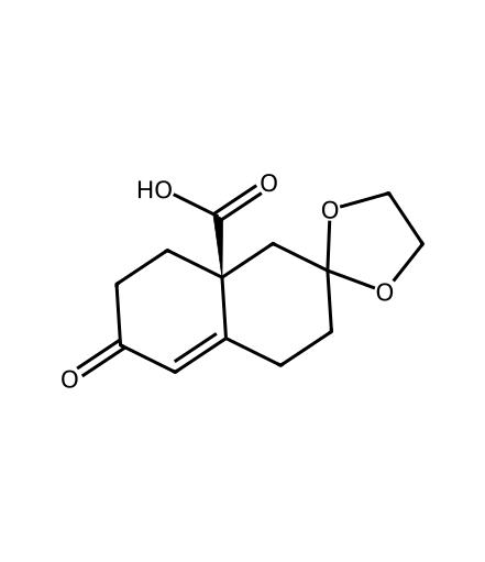 O=C1C=C2CCC3(C[C@@]2(C(=O)O)CC1)OCCO3